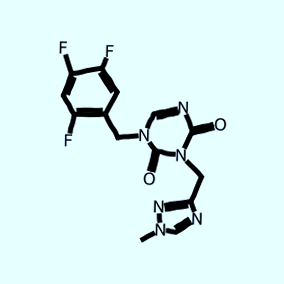 Cn1cnc(Cn2c(=O)ncn(Cc3cc(F)c(F)cc3F)c2=O)n1